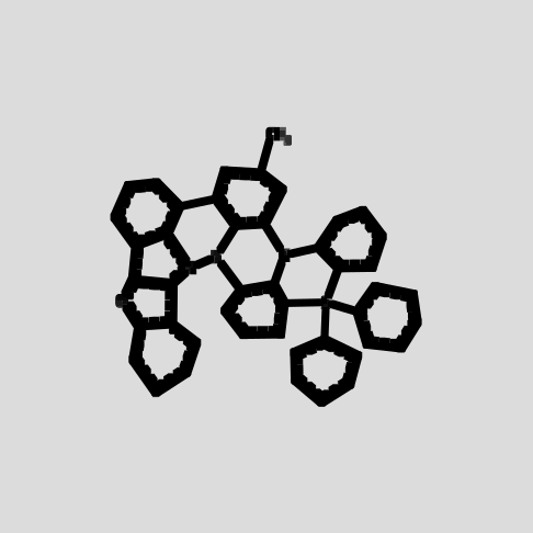 Cc1cc2c3c(c1)N1c4ccccc4S(c4ccccc4)(c4ccccc4)c4cccc(c41)B3n1c3c-2cccc3c2oc3ccccc3c21